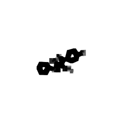 Nc1c(-c2ccc(Cl)cc2)n[nH]c1Nc1ccccc1